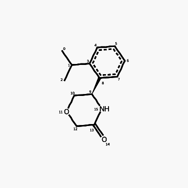 CC(C)c1ccccc1[C@@H]1COCC(=O)N1